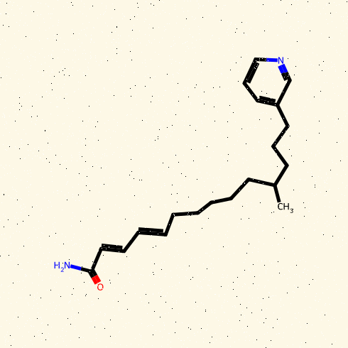 CC(CCCCCC=CC=CC(N)=O)CCCc1cccnc1